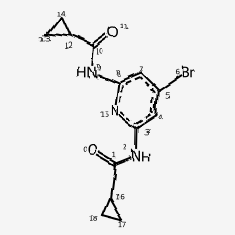 O=C(Nc1cc(Br)cc(NC(=O)C2CC2)n1)C1CC1